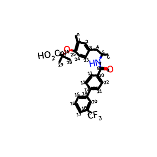 Cc1cc(CC(C)NC(=O)c2ccc(-c3cccc(C(F)(F)F)c3)cc2)ccc1OC(C)(C)C(=O)O